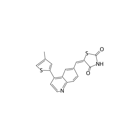 Cc1csc(-c2ccnc3ccc(C=C4SC(=O)NC4=O)cc23)c1